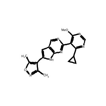 COc1ncnc(C2CC2)c1-c1ncc2cc(-c3c(C)noc3C)[nH]c2n1